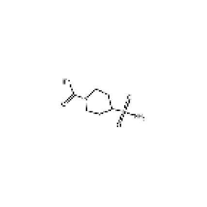 CC(C)C(=O)N1CCC(S(N)(=O)=O)CC1